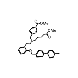 COC(=O)CCCCN(CCc1ccccc1OCc1ccc(-c2ccc(C)cc2)cc1)Cc1ccc(C(=O)OC)cc1